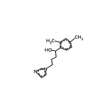 Cc1ccc(C(O)CCCn2ccnc2)c(C)c1